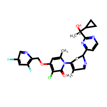 CC1=C(n2c(C)cc(OCc3ncc(F)cc3F)c(Cl)c2=O)CC(c2ccnc([C@](C)(O)C3CC3)n2)N=C1